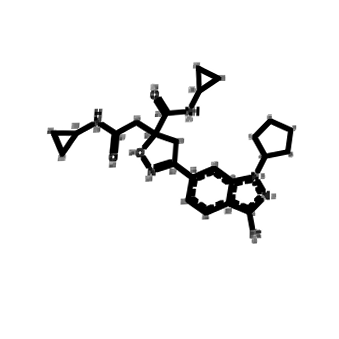 CCc1nn(C2CCCC2)c2cc(C3=NOC(CC(=O)NC4CC4)(C(=O)NC4CC4)C3)ccc12